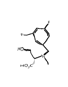 CN(Cc1cc(F)cc(F)c1)[C@@H](CO)C(=O)O